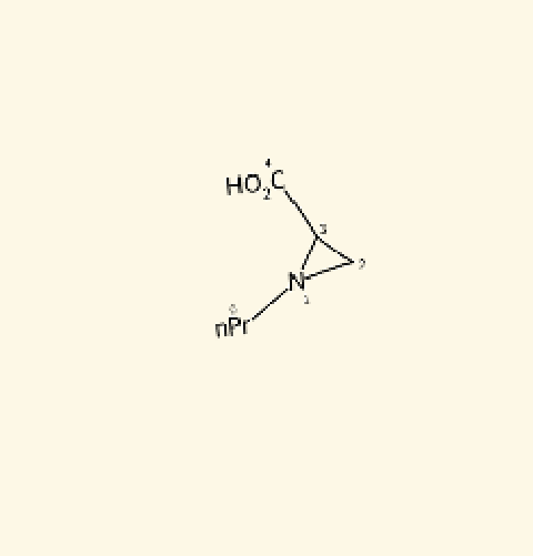 CCCN1CC1C(=O)O